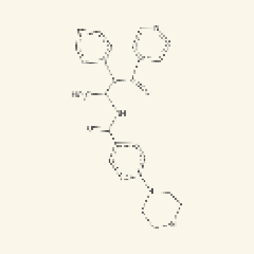 O=C(NC(C(=O)O)N(C(=O)c1ccncc1)c1ccccc1)c1ccc(N2CCNCC2)cc1